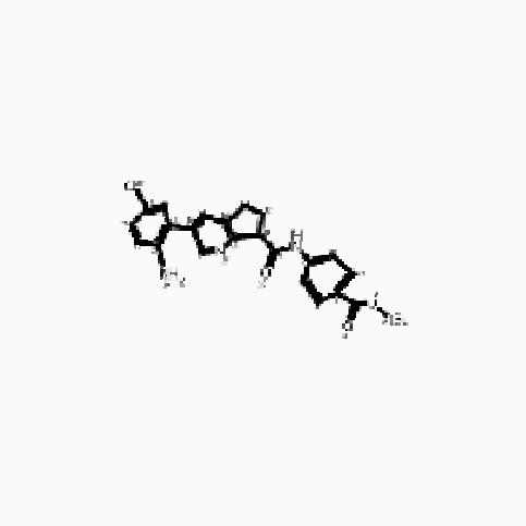 CC(C)(C)OC(=O)c1ccc(NC(=O)C2CCc3cc(-c4cc(Cl)ccc4N)cnc32)cc1